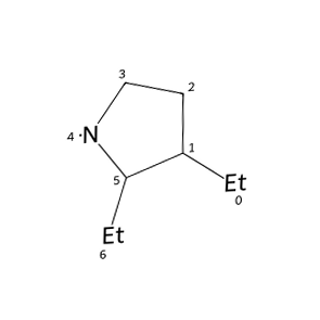 CCC1CC[N]C1CC